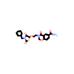 NC(=O)c1ccc2c(c1)C(=O)N(CCOC1SC(=O)N(Cc3ccccc3)C1=O)CO2